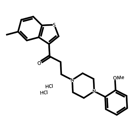 COc1ccccc1N1CCN(CCC(=O)c2csc3ccc(C)cc23)CC1.Cl.Cl